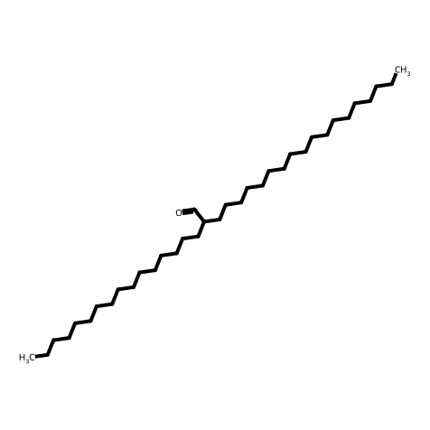 CCCCCCCCCCCCCCCCCCC([C]=O)CCCCCCCCCCCCCCCC